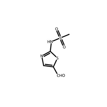 CS(=O)(=O)Nc1ncc(C=O)s1